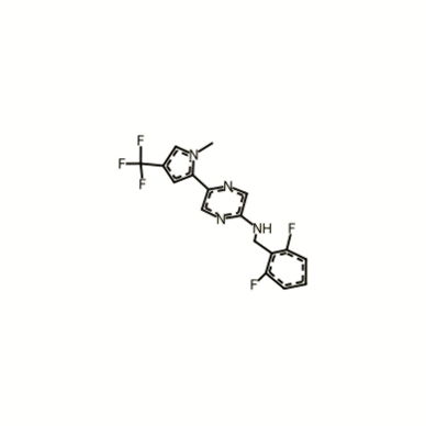 Cn1cc(C(F)(F)F)cc1-c1cnc(NCc2c(F)cccc2F)cn1